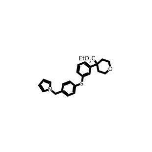 CCOC(=O)C1(c2cccc(Sc3ccc(Cn4cccc4)cc3)c2)CCOCC1